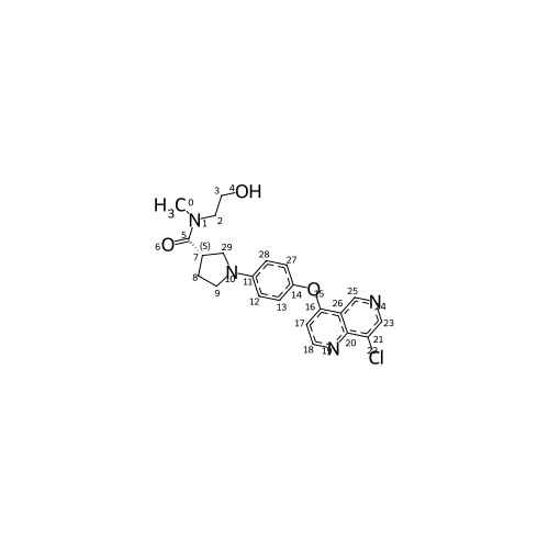 CN(CCO)C(=O)[C@H]1CCN(c2ccc(Oc3ccnc4c(Cl)cncc34)cc2)C1